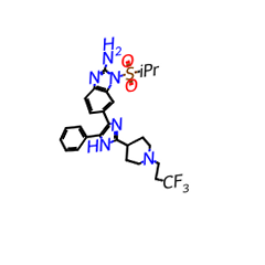 CC(C)S(=O)(=O)n1c(N)nc2ccc(-c3nc(C4CCN(CCC(F)(F)F)CC4)[nH]c3-c3ccccc3)cc21